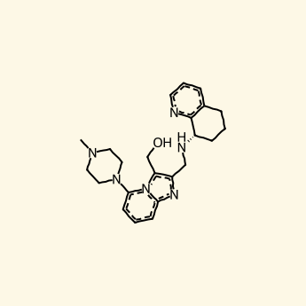 CN1CCN(c2cccc3nc(CN[C@H]4CCCc5cccnc54)c(CO)n23)CC1